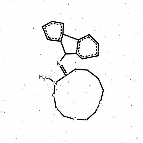 CN1CCCCCCCCCCC/C1=N\C1c2ccccc2-c2ccccc21